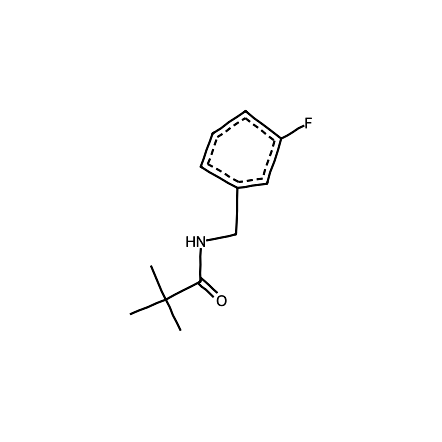 CC(C)(C)C(=O)NCc1cccc(F)c1